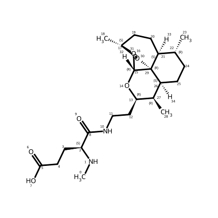 CN[C@@H](CCC(=O)O)C(=O)NCC[C@H]1O[C@@H]2O[C@]3(C)CC[C@H]4[C@H](C)CC[C@@H]([C@H]1C)[C@@]24OO3